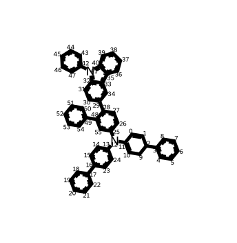 C1=CC(c2ccccc2)CC=C1N(c1ccc(-c2ccccc2)cc1)c1ccc(-c2ccc3c(c2)c2ccccc2n3-c2ccccc2)c(-c2ccccc2)c1